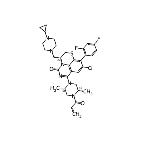 C=CC(=O)N1C[C@H](C)N(c2nc(=O)n3c4c(c(-c5ccc(F)cc5F)c(Cl)cc24)SC[C@@H]3CN2CCN(C3CC3)CC2)C[C@H]1C